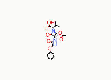 CC(=O)O[C@H]1[C@H](NC(=O)COc2ccccc2)C(=O)N1C(C(=O)O)=C(C)C